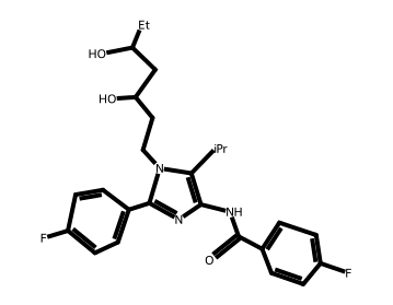 [CH2]CC(O)CC(O)CCn1c(-c2ccc(F)cc2)nc(NC(=O)c2ccc(F)cc2)c1C(C)C